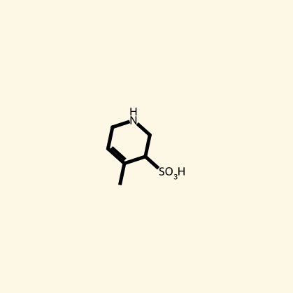 CC1=CCNCC1S(=O)(=O)O